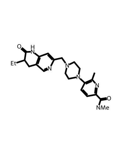 CCC1Cc2cnc(CN3CCN(c4ccc(C(=O)NC)nc4C)CC3)cc2NC1=O